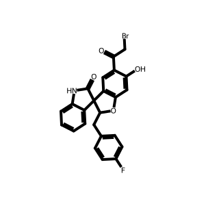 O=C(CBr)c1cc2c(cc1O)OC(Cc1ccc(F)cc1)C21C(=O)Nc2ccccc21